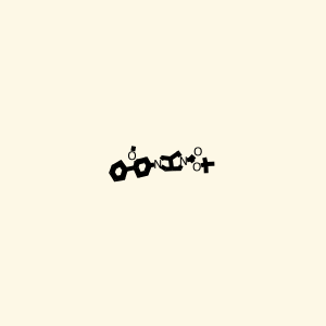 COc1cc(N2CC3CN(C(=O)OC(C)(C)C)CC3C2)ccc1-c1ccccc1